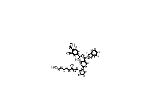 COc1ccc(CNc2nc(N3CCC[C@H]3COC(=O)CCCCCO)ncc2C(=O)NCc2ncccn2)cc1Cl